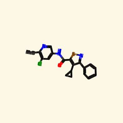 COc1ncc(NC(=O)c2snc(-c3ccccc3)c2C2CC2)cc1Cl